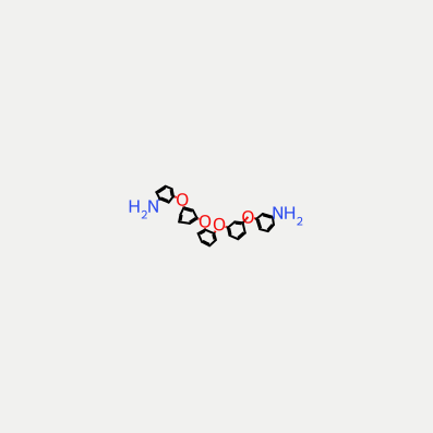 Nc1cccc(Oc2cccc(Oc3ccccc3Oc3cccc(Oc4cccc(N)c4)c3)c2)c1